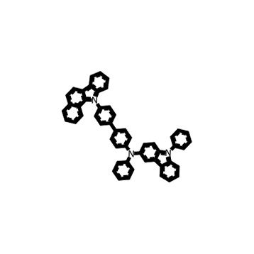 c1ccc(N(c2ccc(-c3ccc(-n4c5ccccc5c5ccc6ccccc6c54)cc3)cc2)c2ccc3c(c2)c2ccccc2n3-c2ccccc2)cc1